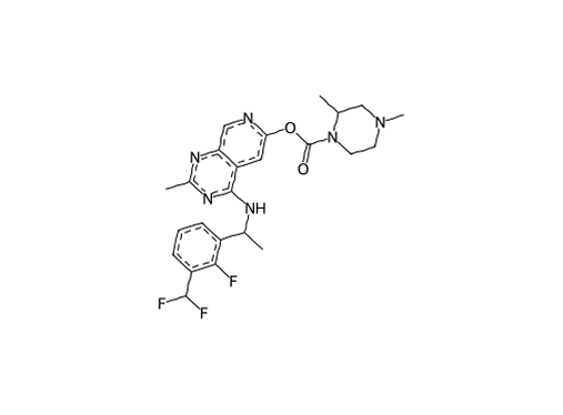 Cc1nc(NC(C)c2cccc(C(F)F)c2F)c2cc(OC(=O)N3CCN(C)CC3C)ncc2n1